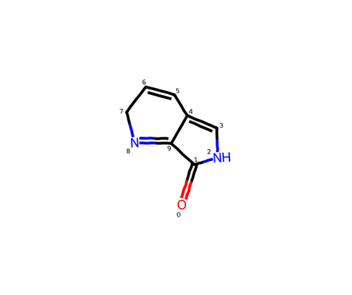 O=C1NC=C2C=CCN=C12